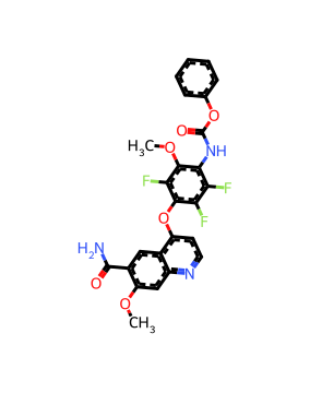 COc1cc2nccc(Oc3c(F)c(F)c(NC(=O)Oc4ccccc4)c(OC)c3F)c2cc1C(N)=O